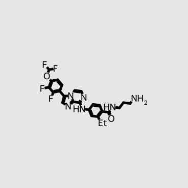 CCc1cc(Nc2nccn3c(-c4ccc(OC(F)F)c(F)c4F)cnc23)ccc1C(=O)NCCCN